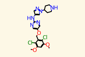 COc1cc(OC)c(Cl)c(COc2cnc(Nc3cnn(C4CCNCC4)c3)nc2)c1Cl